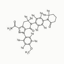 [2H]c1c([2H])c(-n2nc(C(N)=O)c3c2C(=O)N(c2c([2H])c([2H])c(N4C(=O)CCCC4([2H])[2H])c([2H])c2[2H])C([2H])([2H])C3)c([2H])c([2H])c1OC